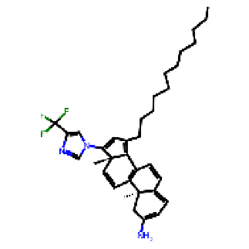 CCCCCCCCCCCCC1=C2C3=C(C=C[C@]2(C)C(n2cnc(C(F)(F)F)c2)=C1)[C@]1(C)CC(N)=CC=C1C=C3